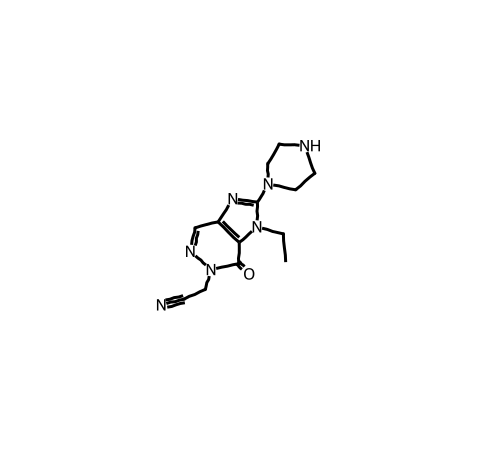 CCn1c(N2CCNCC2)nc2cnn(CC#N)c(=O)c21